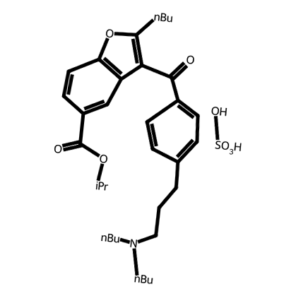 CCCCc1oc2ccc(C(=O)OC(C)C)cc2c1C(=O)c1ccc(CCCN(CCCC)CCCC)cc1.O=S(=O)(O)O